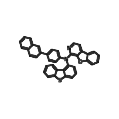 c1ccc2cc(-c3ccc(N(c4nccc5c4oc4ccccc45)c4cccc5sc6ccccc6c45)cc3)ccc2c1